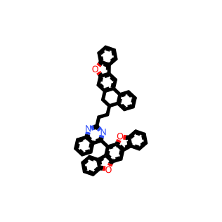 c1ccc2c(c1)-c1cc3c(cc1CC2CCc1nc(-c2c4oc5ccccc5c4cc4oc5ccccc5c24)c2ccccc2n1)oc1ccccc13